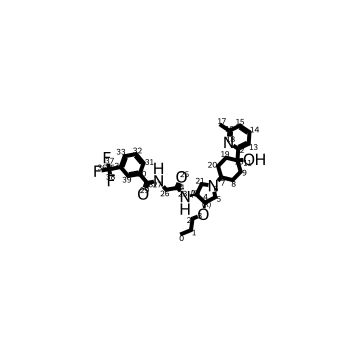 CCCO[C@@H]1CN(C2CCC(O)(c3cccc(C)n3)CC2)C[C@@H]1NC(=O)CNC(=O)c1cccc(C(F)(F)F)c1